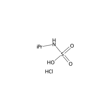 CC(C)NS(=O)(=O)O.Cl